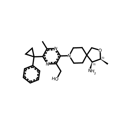 Cc1nc(N2CCC3(CC2)CO[C@@H](C)[C@H]3N)c(CO)nc1C1(c2ccccc2)CC1